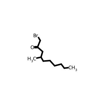 CCCCCCC(C)CC(=O)CBr